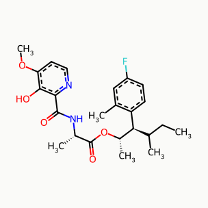 CCC(C)[C@H](c1ccc(F)cc1C)[C@H](C)OC(=O)[C@H](C)NC(=O)c1nccc(OC)c1O